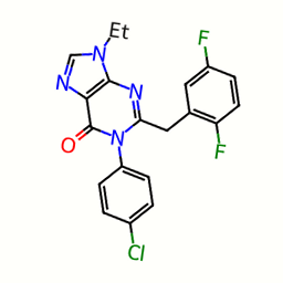 CCn1cnc2c(=O)n(-c3ccc(Cl)cc3)c(Cc3cc(F)ccc3F)nc21